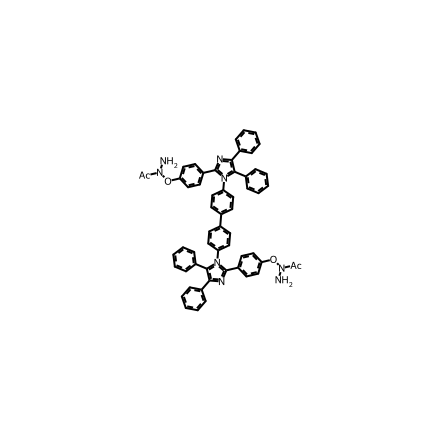 CC(=O)N(N)Oc1ccc(-c2nc(-c3ccccc3)c(-c3ccccc3)n2-c2ccc(-c3ccc(-n4c(-c5ccc(ON(N)C(C)=O)cc5)nc(-c5ccccc5)c4-c4ccccc4)cc3)cc2)cc1